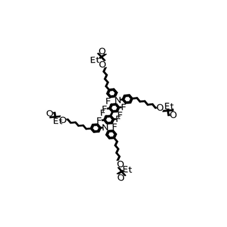 CCC1(COCCCCCCc2ccc(N(c3ccc(CCCCCCOCC4(CC)COC4)cc3)c3c(F)c(F)c(-c4c(F)c(F)c(N(c5ccc(CCCCCCOCC6(CC)COC6)cc5)c5ccc(CCCCCCOCC6(CC)COC6)cc5)c(F)c4F)c(F)c3F)cc2)COC1